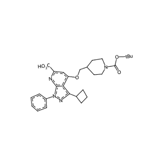 CC(C)(C)OC(=O)N1CCC(COc2cc(C(=O)O)nc3c2c(C2CCC2)nn3-c2ccccc2)CC1